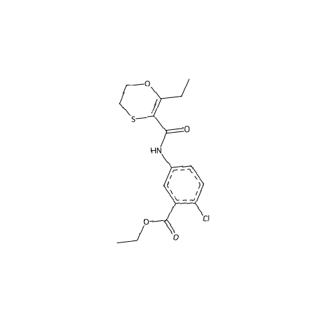 CCOC(=O)c1cc(NC(=O)C2=C(CC)OCCS2)ccc1Cl